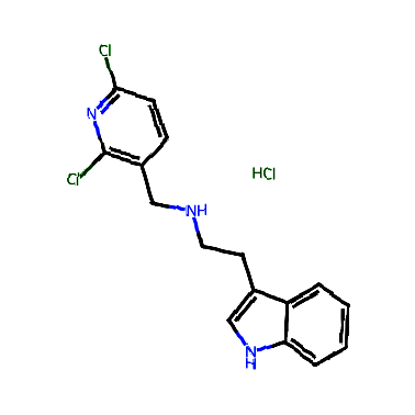 Cl.Clc1ccc(CNCCc2c[nH]c3ccccc23)c(Cl)n1